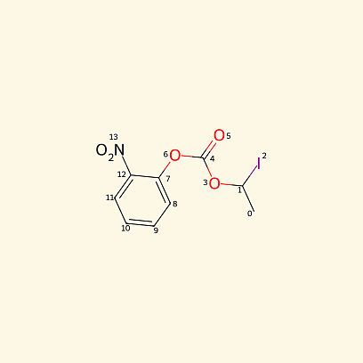 CC(I)OC(=O)Oc1ccccc1[N+](=O)[O-]